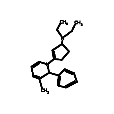 CCN(CC)C1C=C(N2C=CC=C(C)C2c2ccccc2)CC1